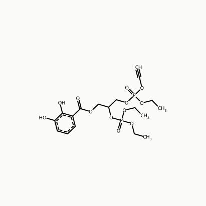 C#COP(=O)(OCC)OCC(COC(=O)c1cccc(O)c1O)OP(=O)(OCC)OCC